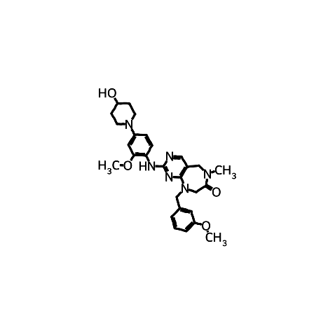 COc1cccc(CN2CC(=O)N(C)Cc3cnc(Nc4ccc(N5CCC(O)CC5)cc4OC)nc32)c1